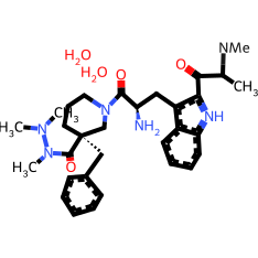 CNC(C)C(=O)c1[nH]c2ccccc2c1C[C@@H](N)C(=O)N1CCC[C@](Cc2ccccc2)(C(=O)N(C)N(C)C)C1.O.O